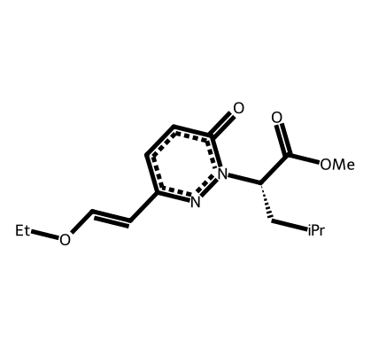 CCO/C=C/c1ccc(=O)n([C@@H](CC(C)C)C(=O)OC)n1